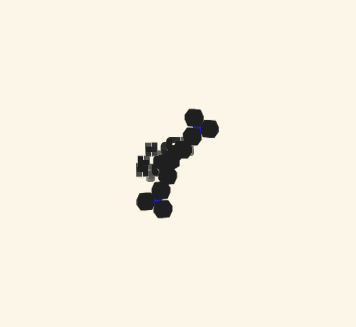 CC1(C)c2cc(-c3ccc(N(c4ccccc4)c4ccccc4)cc3)ccc2-c2cc3c(cc21)C(C)(C)c1cc(-c2ccc(N(c4ccccc4)c4ccccc4)cc2)ccc1-3